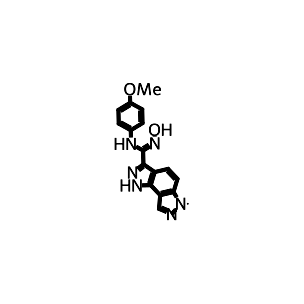 COc1ccc(NC(=NO)c2n[nH]c3c4c(ccc23)[N]N=C4)cc1